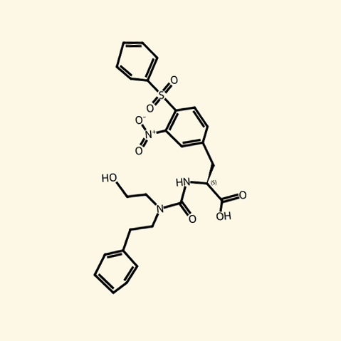 O=C(O)[C@H](Cc1ccc(S(=O)(=O)c2ccccc2)c([N+](=O)[O-])c1)NC(=O)N(CCO)CCc1ccccc1